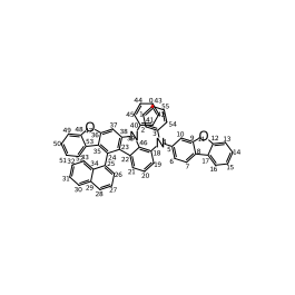 c1ccc(N(c2ccc3c(c2)oc2ccccc23)c2cccc3c4c(-c5cccc6ccccc56)c5c(cc4n(-c4ccccc4)c23)oc2ccccc25)cc1